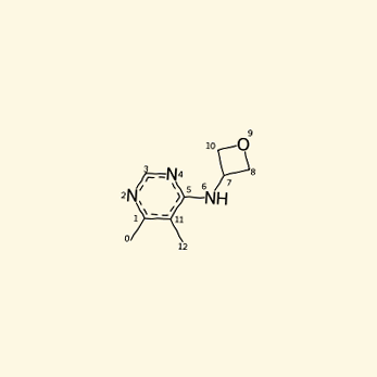 Cc1ncnc(NC2COC2)c1C